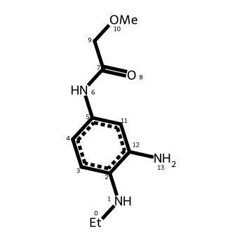 CCNc1ccc(NC(=O)COC)cc1N